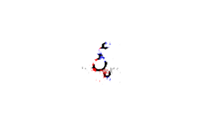 CO[C@]1(C)C[C@@H](C)CN(C)C(C2CN(C(=O)C3CCN(C)CC3)C2)COC(=O)C(C)(C)C(=O)[C@H](C)[C@H]1O[C@@H]1O[C@H](C)C[C@H](N(C)C)[C@H]1O